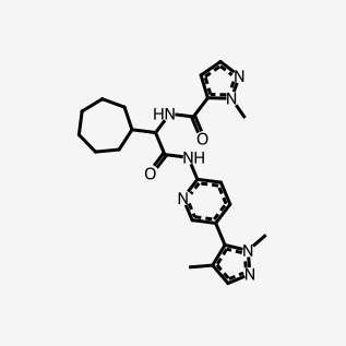 Cc1cnn(C)c1-c1ccc(NC(=O)C(NC(=O)c2ccnn2C)C2CCCCCC2)nc1